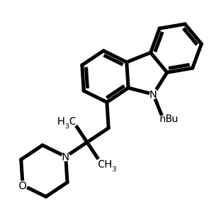 CCCCn1c2ccccc2c2cccc(CC(C)(C)N3CCOCC3)c21